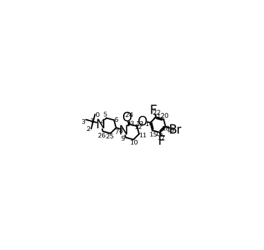 CC(C)(C)N1CCC(N2CCCC(Oc3cc(F)c(Br)cc3F)C2=O)CC1